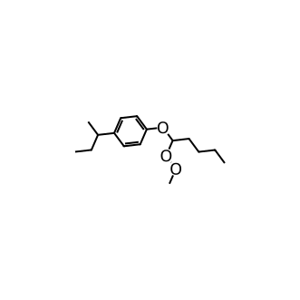 CCCCC(OOC)Oc1ccc(C(C)CC)cc1